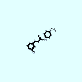 C[C@H]1CC[C@H](NC(=O)CCc2cccc(Cl)c2)CC1